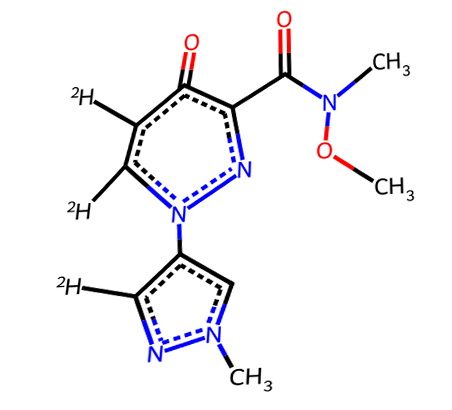 [2H]c1nn(C)cc1-n1nc(C(=O)N(C)OC)c(=O)c([2H])c1[2H]